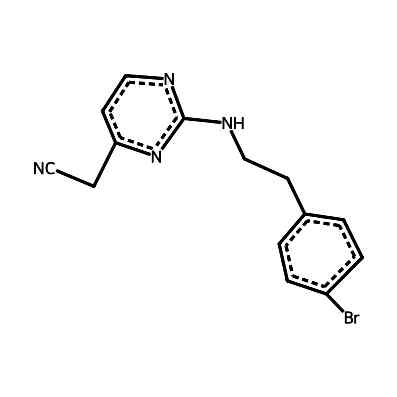 N#CCc1ccnc(NCCc2ccc(Br)cc2)n1